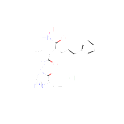 CC(C)C[C@@H](C(=O)NN(CC(C)C)C(=O)[C@H](C)N)[C@H](CC=Cc1ccccc1)C(=O)NO.Cl